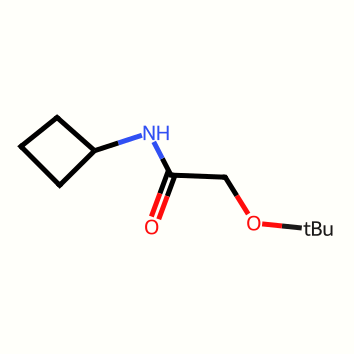 CC(C)(C)OCC(=O)NC1CCC1